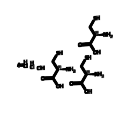 Cl.Cl.Cl.N[C@@H](CS)C(=O)O.N[C@@H](CS)C(=O)O.N[C@@H](CS)C(=O)O.[Au]